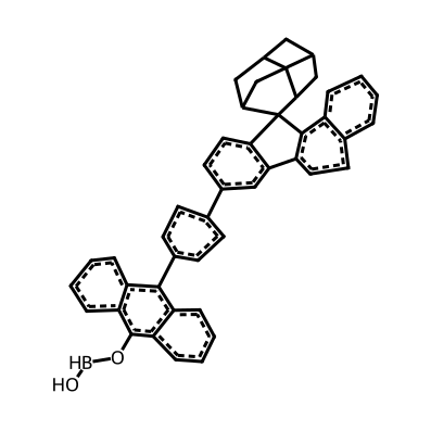 OBOc1c2ccccc2c(-c2ccc(-c3ccc4c(c3)-c3ccc5ccccc5c3C43C4CC5CC(C4)CC3C5)cc2)c2ccccc12